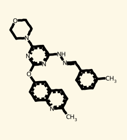 Cc1cccc(C=NNc2cc(N3CCOCC3)nc(Oc3ccc4nc(C)ccc4c3)n2)c1